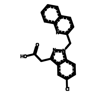 O=C(O)Cc1nn(Cc2ccc3ccccc3n2)c2ccc(Cl)cc12